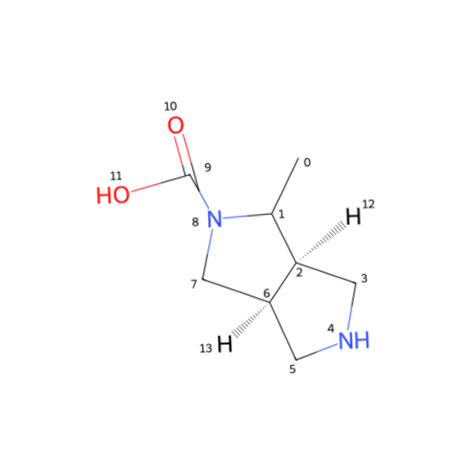 CC1[C@H]2CNC[C@H]2CN1C(=O)O